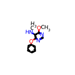 CNc1c(OC)ncnc1Oc1ccccc1